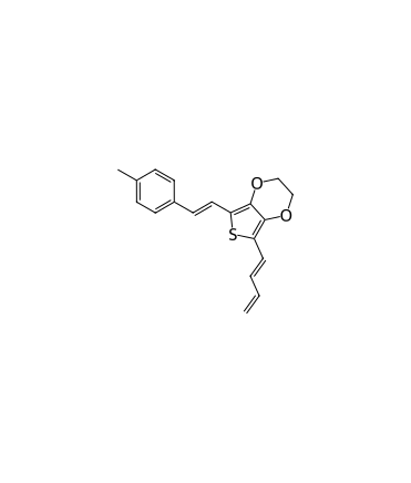 C=C/C=C/c1sc(/C=C/c2ccc(C)cc2)c2c1OCCO2